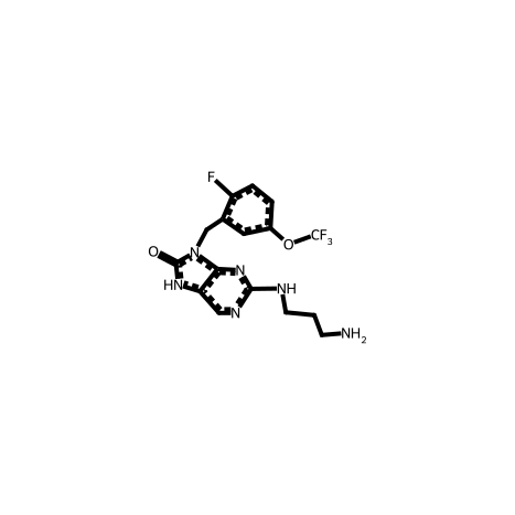 NCCCNc1ncc2[nH]c(=O)n(Cc3cc(OC(F)(F)F)ccc3F)c2n1